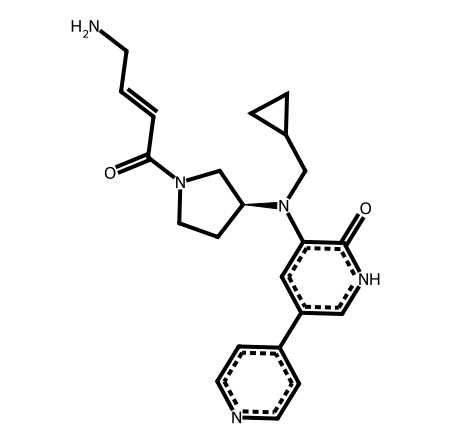 NC/C=C/C(=O)N1CC[C@H](N(CC2CC2)c2cc(-c3ccncc3)c[nH]c2=O)C1